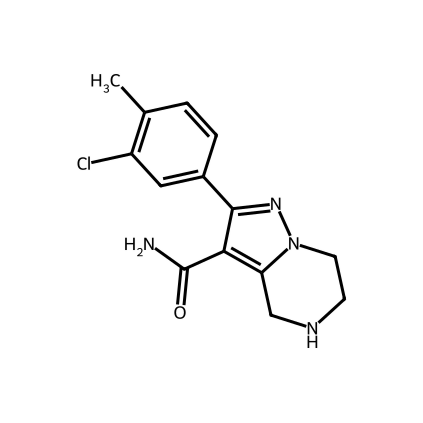 Cc1ccc(-c2nn3c(c2C(N)=O)CNCC3)cc1Cl